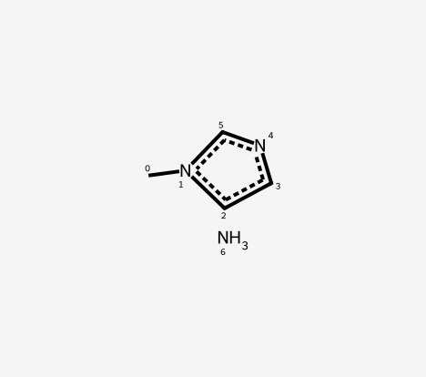 Cn1ccnc1.N